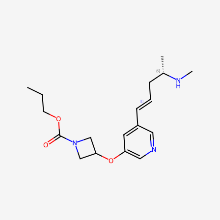 CCCOC(=O)N1CC(Oc2cncc(/C=C/C[C@H](C)NC)c2)C1